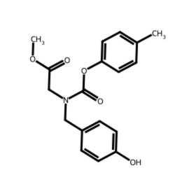 COC(=O)CN(Cc1ccc(O)cc1)C(=O)Oc1ccc(C)cc1